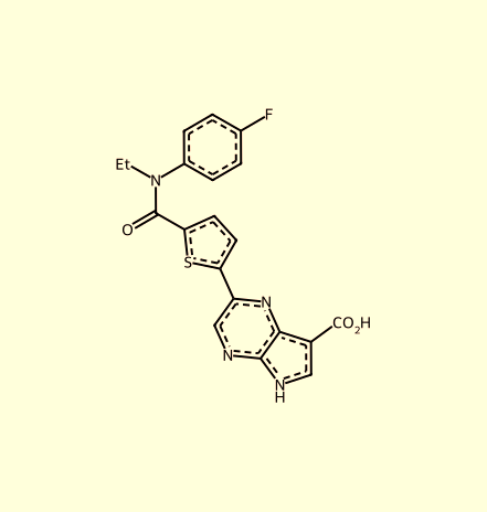 CCN(C(=O)c1ccc(-c2cnc3[nH]cc(C(=O)O)c3n2)s1)c1ccc(F)cc1